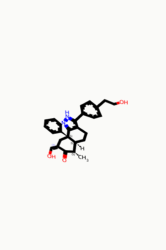 C[C@@H]1C(=O)/C(=C\O)C[C@]2(c3ccccc3)c3n[nH]c(-c4ccc(CCO)cc4)c3CC[C@@H]12